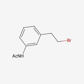 CC(=O)Nc1cccc(CCBr)c1